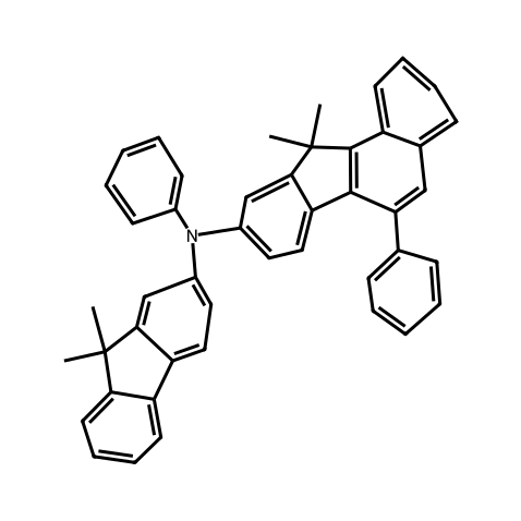 CC1(C)c2ccccc2-c2ccc(N(c3ccccc3)c3ccc4c(c3)C(C)(C)c3c-4c(-c4ccccc4)cc4ccccc34)cc21